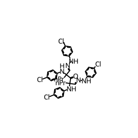 CCCC(C=NNc1ccc(Cl)cc1)(Nc1ccc(Cl)cc1)C(=O)C(C=NNc1ccc(Cl)cc1)(CCC)Nc1ccc(Cl)cc1